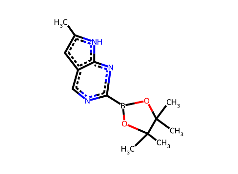 Cc1cc2cnc(B3OC(C)(C)C(C)(C)O3)nc2[nH]1